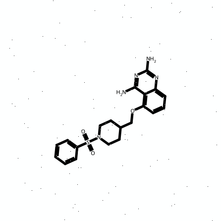 Nc1nc(N)c2c(OCC3CCN(S(=O)(=O)c4ccccc4)CC3)cccc2n1